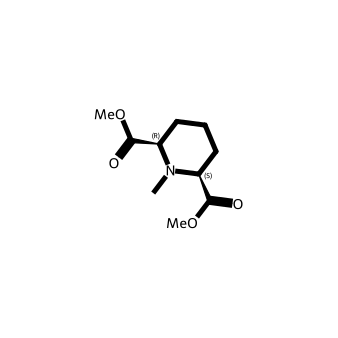 COC(=O)[C@H]1CCC[C@@H](C(=O)OC)N1C